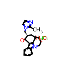 Cc1nccn1C[C@H]1C[C@H]2CCCn3c2c(c2ccccc23)C1=O.Cl.O